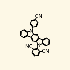 N#Cc1ccc(-n2c3ccccc3c3cc4c(cc32)c2ccccc2n4-c2c(C#N)cccc2C#N)cc1